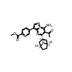 COC(=O)c1ccc(-c2cnn3c(N)c(C(C)=O)c([C@@H]4C[C@H]5CC[C@@H](C4)N5)nc23)cn1